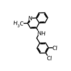 Cc1cc(NCc2ccc(Cl)c(Cl)c2)c2ccccc2n1